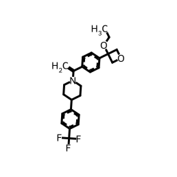 C=C(c1ccc(C2(OCC)COC2)cc1)N1CCC(c2ccc(C(F)(F)F)cc2)CC1